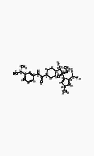 C[C@@H](O)c1cc(NC(=O)N2CCC([C@@](C)(F)S(=O)(=O)c3cn(C)nc3C(F)F)CC2)ccn1